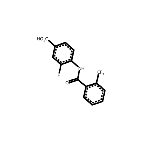 O=C(O)c1ccc(NC(=O)c2ccccc2C(F)(F)F)c(F)c1